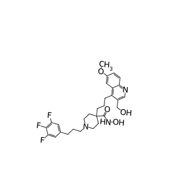 COc1ccc2ncc(CO)c(CCCC3(C(=O)NO)CCN(CCCc4cc(F)c(F)c(F)c4)CC3)c2c1